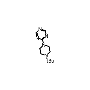 CC(C)(C)N1CCN(c2ncncn2)CC1